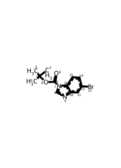 CC(C)(C)OC(=O)n1cnc2cc(Br)ccc21